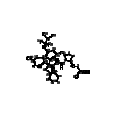 O=C(O)CO[C@@H]1CCC[C@H]1NC(=O)N[C@@](Cc1ccccc1)(c1cc(F)cc(OC(F)(F)C(F)F)c1)c1ccc(Cl)cn1